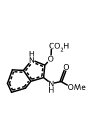 COC(=O)Nc1c(OC(=O)O)[nH]c2ccccc12